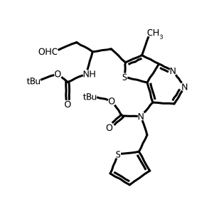 Cc1c(CC(CC=O)NC(=O)OC(C)(C)C)sc2c(N(Cc3cccs3)C(=O)OC(C)(C)C)cnnc12